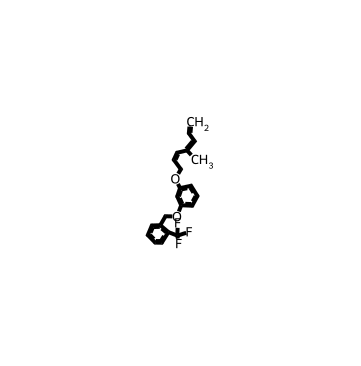 C=C/C=C(C)\C=C/COc1cccc(OCc2ccccc2C(F)(F)F)c1